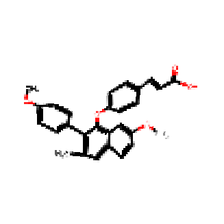 COc1ccc(-c2c(C)cc3ccc(OC)cc3c2Oc2ccc(C=CC(=O)O)cc2)cc1